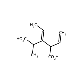 C=CC(C(=O)O)C(=CC)C(C)C(=O)O